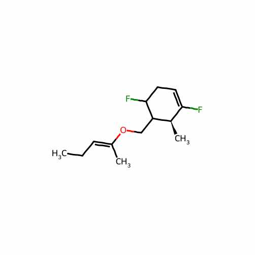 CC/C=C(\C)OCC1C(F)CC=C(F)[C@H]1C